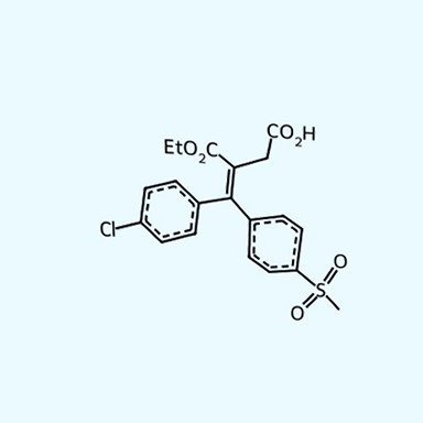 CCOC(=O)/C(CC(=O)O)=C(\c1ccc(Cl)cc1)c1ccc(S(C)(=O)=O)cc1